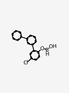 OBOc1ccc(Cl)cc1-c1cccc(-c2ccccc2)c1